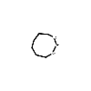 C1CCC[Se][Se][Se]CC1